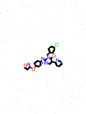 O=c1c(-c2ccccn2)c[nH]/c(=N\c2ccc(Oc3ccon3)cc2)n1Cc1ccc(Cl)cc1